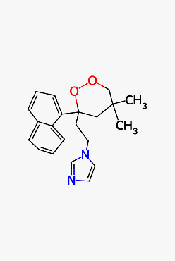 CC1(C)COOC(CCn2ccnc2)(c2cccc3ccccc23)C1